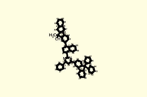 CC1(C)c2cc(-c3ccc(-c4nc(-c5ccccc5)cc(-c5ccc6c(c5)-c5ccccc5C6(c5ccccc5)c5ccccc5)n4)c4ccccc34)ccc2-c2cc3ccccc3cc21